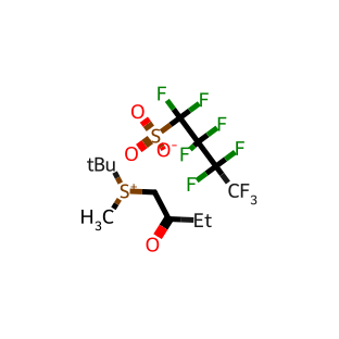 CCC(=O)C[S+](C)C(C)(C)C.O=S(=O)([O-])C(F)(F)C(F)(F)C(F)(F)C(F)(F)F